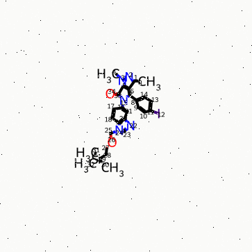 Cc1nn(C)c2c1C(c1ccc(I)cc1)N(c1ccc3c(c1)ncn3COCC[Si](C)(C)C)C2=O